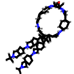 CC(C)N1CC2(CCC(N3CC4(CCC(C(C)(C)C5(C)C6CN(C6)C6CCC7(CC6)CN(C7)C(C)(C)C(C)(C)N6CCC7(CC6)CC(C7)N6CC(C6)C5(C)C(C)(C)C5CC6CN(C7CC8CN(C(C)(C)C)CC8C7)CC6C5)CC4)C3)CC2)C1